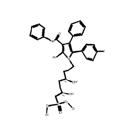 CCOP(=O)(C[C@H](O)C[C@H](O)CCn1c(-c2ccc(F)cc2)c(-c2ccccc2)c(C(=O)Nc2ccccc2)c1C(C)C)OCC